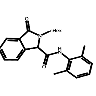 CCCCCCN1C(=O)c2ccccc2C1C(=O)Nc1c(C)cccc1C